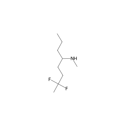 CCCC(CCC(C)(F)F)NC